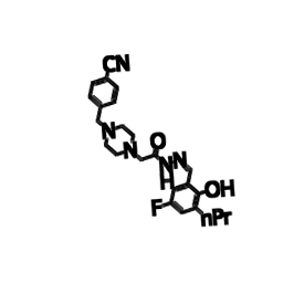 CCCc1cc(F)cc(/C=N\NC(=O)CN2CCN(Cc3ccc(C#N)cc3)CC2)c1O